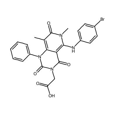 Cc1c(=O)n(C)c(Nc2ccc(Br)cc2)c2c(=O)n(CC(=O)O)c(=O)n(-c3ccccc3)c12